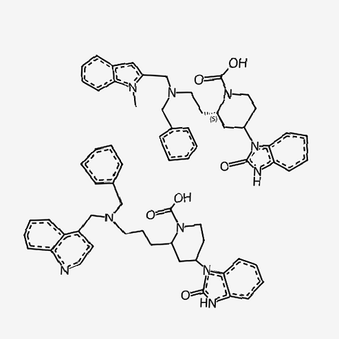 Cn1c(CN(CC[C@H]2CC(n3c(=O)[nH]c4ccccc43)CCN2C(=O)O)Cc2ccccc2)cc2ccccc21.O=C(O)N1CCC(n2c(=O)[nH]c3ccccc32)CC1CCCN(Cc1ccccc1)Cc1ccnc2ccccc12